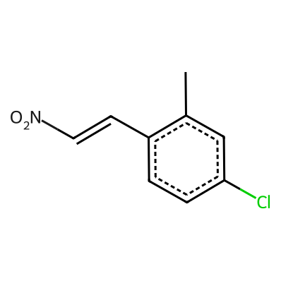 Cc1cc(Cl)ccc1C=C[N+](=O)[O-]